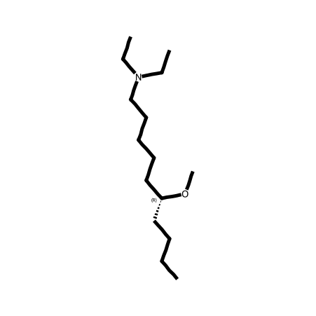 CCCC[C@H](CCCCCN(CC)CC)OC